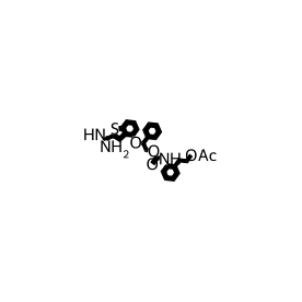 CC(=O)OCCc1ccccc1NC(=O)OCC(Oc1cccc2sc(C(=N)N)cc12)c1ccccc1